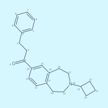 O=C(CCc1ccccc1)c1ccc2c(c1)CCN(C1CCC1)CC2